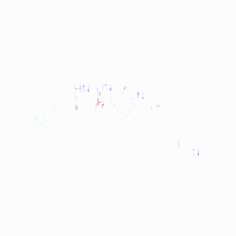 C[C@]1(NC(=O)Nc2ccc(Cl)cc2)CCCN(c2ccc(-c3ccncc3)cc2)C1=O